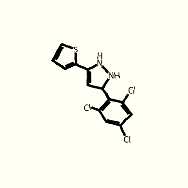 Clc1cc(Cl)c(C2C=C(c3cccs3)NN2)c(Cl)c1